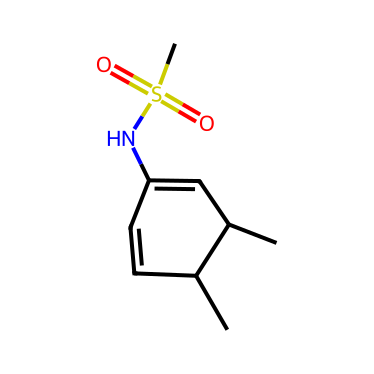 CC1C=CC(NS(C)(=O)=O)=CC1C